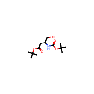 CC(C)(C)OC(=O)C[C@@H](CO)NC(=O)OC(C)(C)C